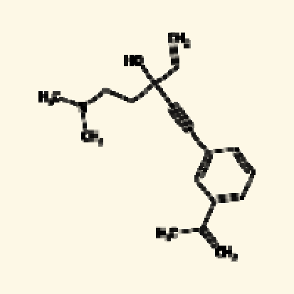 C=CC(O)(C#Cc1cccc(C(=C)C)c1)CCN(C)C